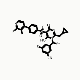 CCC(c1cc(F)cc(C#N)c1)n1c(CC2CC2)nc(=O)c(S(=O)(=O)c2ccc(-c3ccnc(F)c3C)cc2)c1O